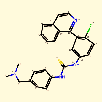 CN(C)Cc1ccc(NC(=S)Nc2ccc(Cl)c(-c3nccc4ccccc34)c2)cc1